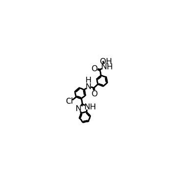 O=C(NO)c1cccc(C(=O)Nc2ccc(Cl)c(-c3nc4ccccc4[nH]3)c2)c1